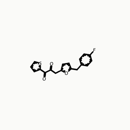 O=C(Cc1ccc(Cc2ccc(F)cc2)o1)C(=O)c1cccs1